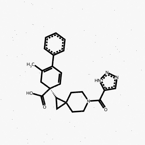 CC1=C(c2ccccc2)C=C[C@](C(=O)O)(C2CC23CCN(C(=O)c2cnn[nH]2)CC3)C1